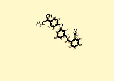 CC(C)c1ccc(Oc2cccc(OCc3ccccc3C#N)c2)cc1